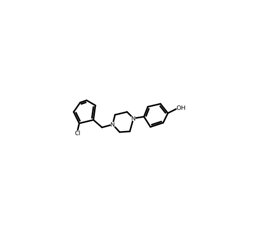 Oc1ccc(N2CCN(Cc3ccccc3Cl)CC2)cc1